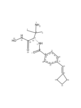 CC(C)(N)[C@H](NC(=O)c1ccc(C=C2CCC2)cc1)C(=O)NO